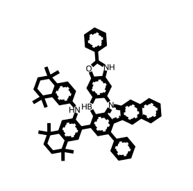 CC1(C)CCC(C)(C)c2cc(Nc3cc4c(cc3-c3cc(-c5ccccc5)c5c6cc7ccccc7cc6n6c5c3Bc3cc5c(cc3-6)NC(c3ccccc3)O5)C(C)(C)CCC4(C)C)ccc21